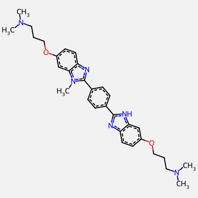 CN(C)CCCOc1ccc2nc(-c3ccc(-c4nc5ccc(OCCCN(C)C)cc5n4C)cc3)[nH]c2c1